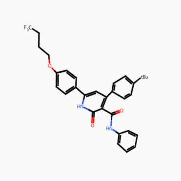 CC(C)(C)c1ccc(-c2cc(-c3ccc(OCCCC(F)(F)F)cc3)[nH]c(=O)c2C(=O)Nc2ccccc2)cc1